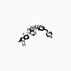 CNC(=O)c1c(Nc2ccc(CN3CCN(C)CC3)cn2)ncnc1Oc1ccc2[nH]c(C)cc2c1F